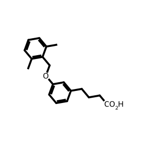 Cc1cccc(C)c1COc1cccc(CCCC(=O)O)c1